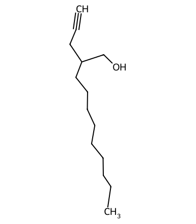 C#CCC(CO)CCCCCCCCC